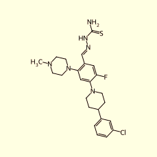 CN1CCN(c2cc(N3CCC(c4cccc(Cl)c4)CC3)c(F)cc2C=NNC(N)=S)CC1